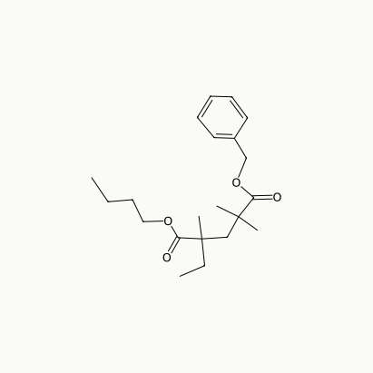 CCCCOC(=O)C(C)(CC)CC(C)(C)C(=O)OCc1ccccc1